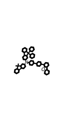 CC1(C)c2ccccc2-c2ccc(N(c3ccc(-c4ccc(-c5cccc6c5oc5ccccc56)cc4)cc3)c3ccc4c(c3)C(c3ccccc3)(c3ccccc3)c3ccccc3-4)cc21